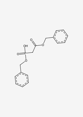 O=C(CP(=O)(O)OCc1ccccc1)OCc1ccccc1